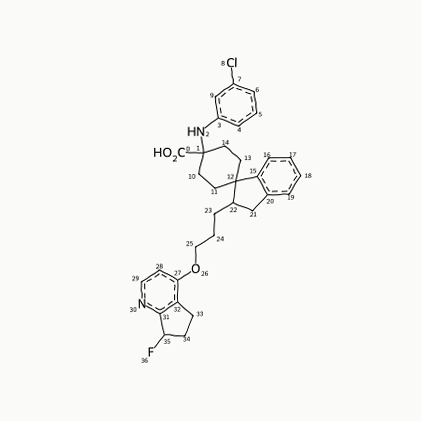 O=C(O)C1(Nc2cccc(Cl)c2)CCC2(CC1)c1ccccc1CC2CCCOc1ccnc2c1CCC2F